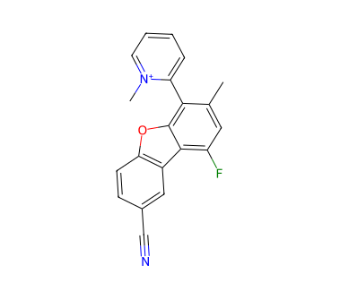 Cc1cc(F)c2c(oc3ccc(C#N)cc32)c1-c1cccc[n+]1C